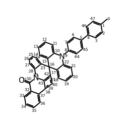 Cc1ccc(-c2ccc(N3c4ccccc4C4(c5ccccc53)c3ccccc3-n3c(=O)c5ccccc5c5cccc4c53)cc2)cc1